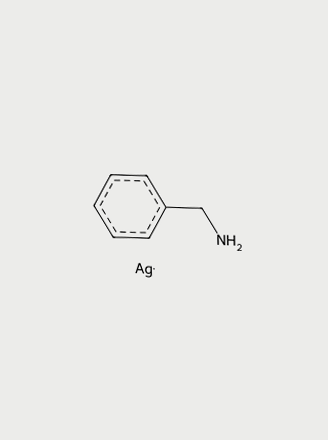 NCc1ccccc1.[Ag]